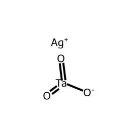 [Ag+].[O]=[Ta](=[O])[O-]